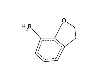 Bc1cccc2c1OCC2